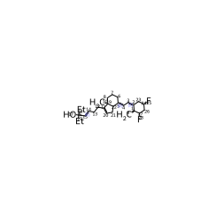 C=C1/C(=C\C=C2/CCCC3(C)C(CC/C=C/C(O)(CC)CC)=CCC23)CC(F)CC1F